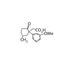 COc1cccc(C2(CC(=O)O)CC(C)CCC2=O)c1